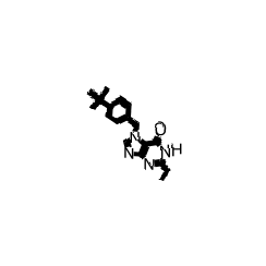 CCc1nc2ncn(Cc3ccc(C(C)(C)C)cc3)c2c(=O)[nH]1